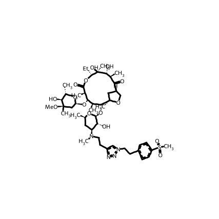 CC[C@H]1OC(=O)[C@H](C)[C@@H](O[C@H]2C[C@@](C)(OC)[C@@H](O)[C@H](C)O2)[C@H](C)[C@@H](O[C@@H]2O[C@H](C)C[C@H](N(C)CCc3cn(CCc4ccc(S(C)(=O)=O)cc4)nn3)[C@H]2O)[C@@]2(C)C[C@@H](CO2)C(=O)[C@H](C)[C@@H](O)[C@]1(C)O